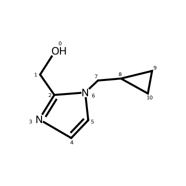 OCc1nccn1CC1CC1